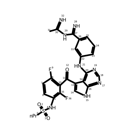 CCCS(=O)(=O)Nc1ccc(F)c(C(=O)c2c[nH]c3ncnc(Nc4cccc(C(=N)NC(C)=N)c4)c23)c1F